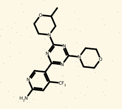 CC1CN(c2nc(-c3cnc(N)cc3C(F)(F)F)nc(N3CCOCC3)n2)CCO1